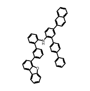 c1ccc(-c2ccc(-c3cc(-c4ccc5ccccc5c4)ccc3Nc3ccccc3-c3cccc(-c4cccc5c4oc4ccccc45)c3)cc2)cc1